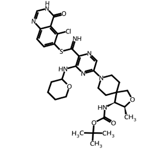 C[C@@H]1OCC2(CCN(c3cnc(C(=N)Sc4ccc5nc[nH]c(=O)c5c4Cl)c(NC4CCCCO4)n3)CC2)[C@@H]1NC(=O)OC(C)(C)C